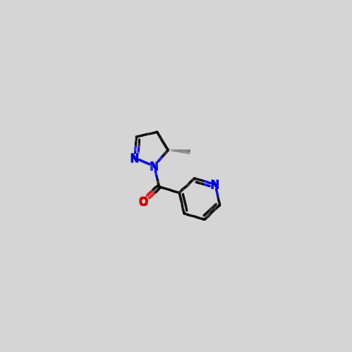 C[C@H]1CC=NN1C(=O)c1cccnc1